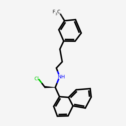 FC(F)(F)c1cccc(CCCN[C@H](CCl)c2cccc3ccccc23)c1